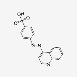 O=S(=O)(O)c1ccc(N=Nc2ccnc3ccccc23)cc1